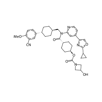 COc1ccc([C@H]2CC[C@H](CN(c3cc(-c4coc(C5CC5)n4)ccn3)C(=O)[C@H]3CC[C@H](OC(=O)N4CC(O)C4)CC3)CC2)cc1C#N